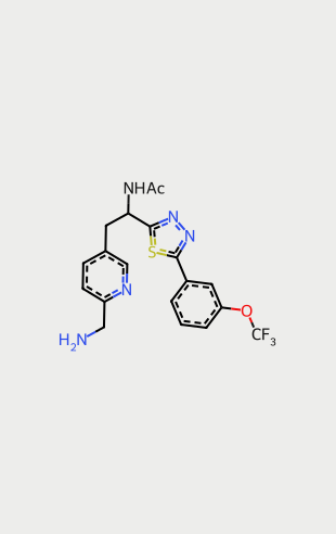 CC(=O)NC(Cc1ccc(CN)nc1)c1nnc(-c2cccc(OC(F)(F)F)c2)s1